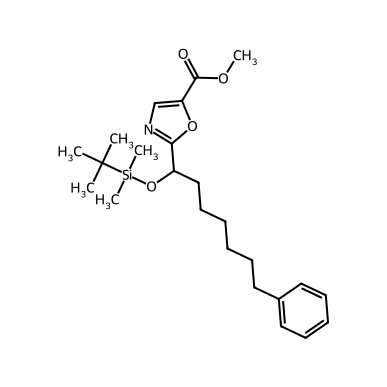 COC(=O)c1cnc(C(CCCCCCc2ccccc2)O[Si](C)(C)C(C)(C)C)o1